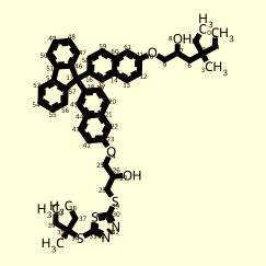 CCC(C)(CC)CC(O)COc1ccc2cc(C3(c4ccc5cc(OCC(O)CSc6nnc(SC(C)(CC)CC)s6)ccc5c4)c4ccccc4-c4ccccc43)ccc2c1